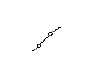 CCCCCCc1ccc(C=CC#CC=Cc2ccc(CCCC)cc2)cc1